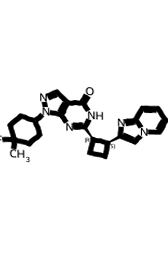 CC1(F)CCC(n2ncc3c(=O)[nH]c([C@@H]4CC[C@@H]4c4cn5ccccc5n4)nc32)CC1